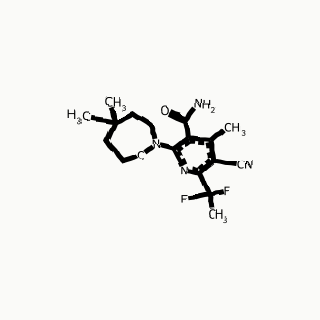 Cc1c(C#N)c(C(C)(F)F)nc(N2CCCC(C)(C)CC2)c1C(N)=O